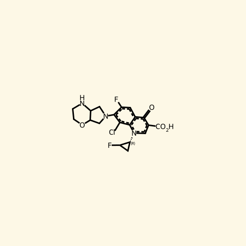 O=C(O)c1cn([C@@H]2CC2F)c2c(Cl)c(N3CC4NCCOC4C3)c(F)cc2c1=O